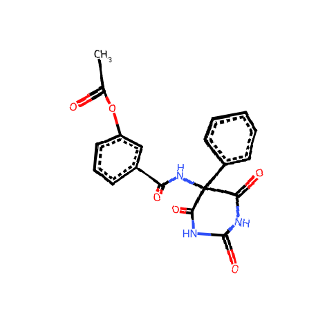 CC(=O)Oc1cccc(C(=O)NC2(c3ccccc3)C(=O)NC(=O)NC2=O)c1